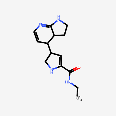 O=C(NCC(F)(F)F)C1=CC(C2C=CN=C3NCCC32)CN1